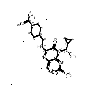 C=C(Cl)/N=C1\C(=C/C)N=C(NCC2CCN(C(C)=O)CC2)C(=O)N1[C@@H](C)C1CC1